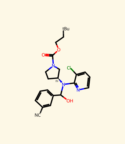 CC(C)(C)CCOC(=O)N1CC[C@H](N(c2ncccc2Cl)C(O)c2cccc(C#N)c2)C1